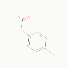 CC(=O)C(=O)Oc1ccc(C(C)C)cc1